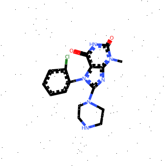 Cn1c(=O)[nH]c(=O)c2c1nc(N1CCNCC1)n2-c1ccccc1Cl